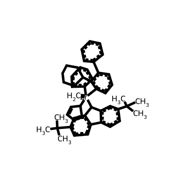 [CH2]=[Zr]([c]1ccccc1)([c]1cccc(-c2ccccc2)c1C1CCCCC1)([CH]1C=CC=C1)[CH]1c2cc(C(C)(C)C)ccc2-c2ccc(C(C)(C)C)cc21